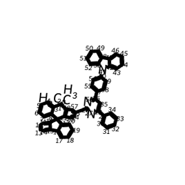 CC1(C)c2ccccc2C2(c3ccccc3-c3ccccc32)c2ccc(-c3nc(-c4ccccc4)cc(-c4ccc(-n5c6ccccc6c6ccccc65)cc4)n3)cc21